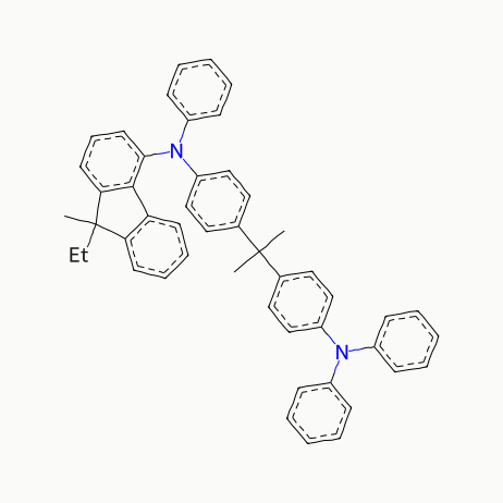 CCC1(C)c2ccccc2-c2c(N(c3ccccc3)c3ccc(C(C)(C)c4ccc(N(c5ccccc5)c5ccccc5)cc4)cc3)cccc21